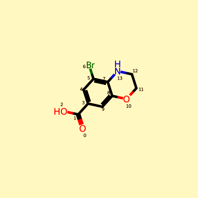 O=C(O)c1cc(Br)c2c(c1)OCCN2